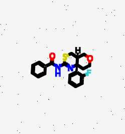 O=C(NC1=N[C@@]2(c3ccccc3F)CCOC[C@@H]2CS1)c1ccccc1